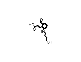 O=Cc1cccc(NCCCCO)c1C=CC(=O)O